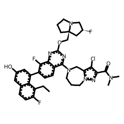 CCc1c(F)ccc2cc(O)cc(-c3ccc4c(N5CCCn6nc(C(=O)N(C)C)c(Cl)c6C5)nc(OC[C@@]56CCCN5C[C@H](F)C6)nc4c3F)c12